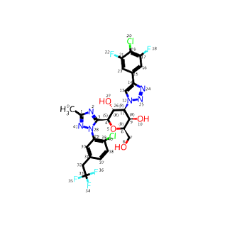 Cc1nc([C@@H]2O[C@H](CO)[C@H](O)[C@H](n3cc(-c4cc(F)c(Cl)c(F)c4)nn3)[C@H]2O)n(-c2cc(CC(F)(F)F)ccc2Cl)n1